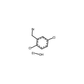 CCO.Clc1ccc(Cl)c(CBr)c1